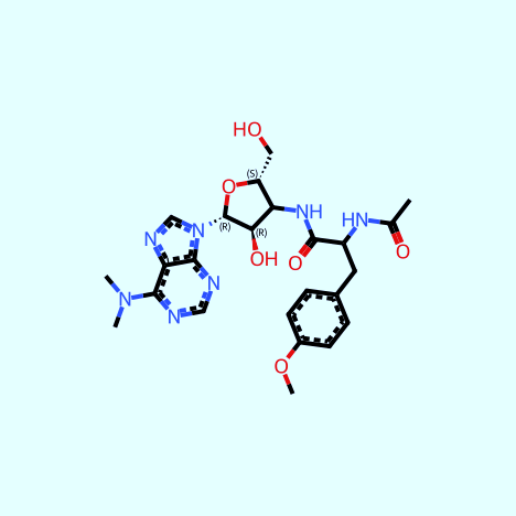 COc1ccc(CC(NC(C)=O)C(=O)NC2[C@@H](O)[C@H](n3cnc4c(N(C)C)ncnc43)O[C@@H]2CO)cc1